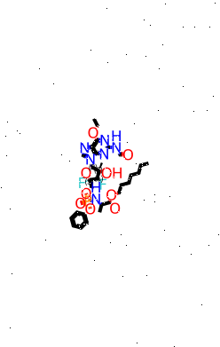 CCCCCCCOC(=O)C(C)NP(=O)(OC[C@@]1(F)O[C@@H](n2cnc3c(OCC)nc(NC=O)nc32)[C@](C)(O)[C@@H]1F)Oc1ccccc1